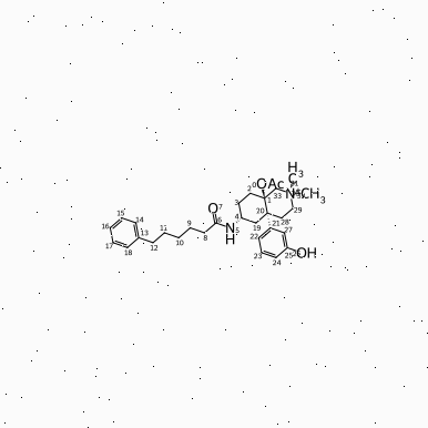 CC(=O)O[C@]12CC[C@@H](NC(=O)CCCCCc3ccccc3)C[C@]1(c1cccc(O)c1)CC[N+](C)(C)C2